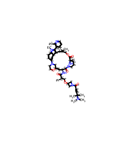 CCn1c(-c2cccnc2C(C)C)c2c3cc(ccc31)N1CCO[C@@H](C[C@H](NC(=O)[C@@H](COC3CN(C(=O)C#CC(C)(C)N(C)C)C3)C(C)C)C(=O)N3CCC[C@H](N3)C(=O)OCC(C)(C)C2)C1